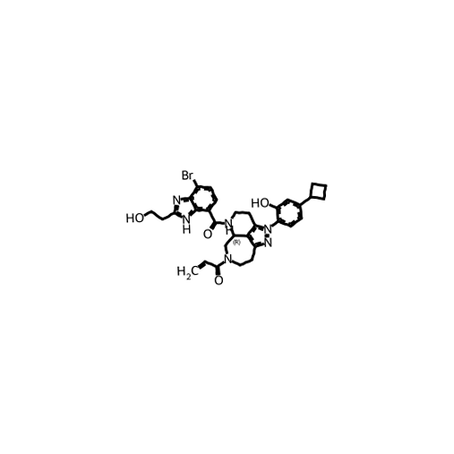 C=CC(=O)N1CCc2nn(-c3ccc(C4CCC4)cc3O)c3c2[C@H](C1)N(C(=O)c1ccc(Br)c2nc(CCO)[nH]c12)CC3